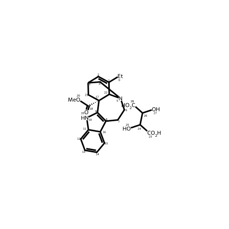 CCC1=CC2CN3CCc4c([nH]c5ccccc45)[C@@](C(=O)OC)(C2)C13.O=C(O)C(O)C(O)C(=O)O